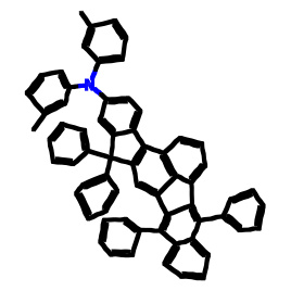 Cc1cccc(N(c2cccc(C)c2)c2ccc3c(c2)C(c2ccccc2)(c2ccccc2)c2cc4c5c(cccc5c2-3)-c2c-4c(-c3ccccc3)c3ccccc3c2-c2ccccc2)c1